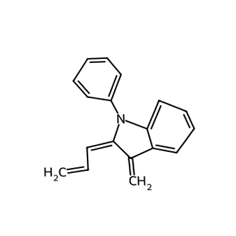 C=C/C=c1\c(=C)c2ccccc2n1-c1ccccc1